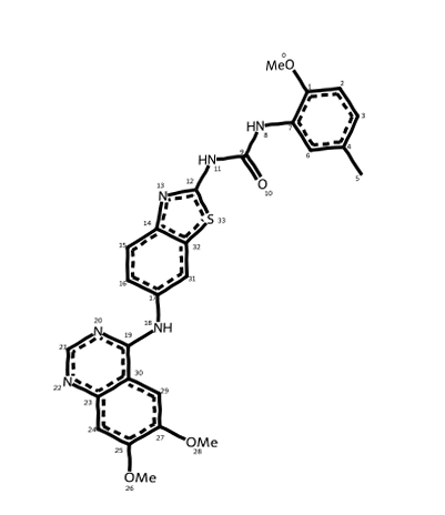 COc1ccc(C)cc1NC(=O)Nc1nc2ccc(Nc3ncnc4cc(OC)c(OC)cc34)cc2s1